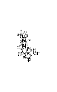 C[C@@H]1CN(c2nc(=O)n(C)c3c2nc(CO)n3CC(F)F)[C@@H](C)CN1C(=O)OC(C)(C)C